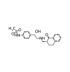 CS(=O)(=O)Nc1ccc([C@H](O)CNC[C@@H]2CCc3ccccc3C2=O)cc1